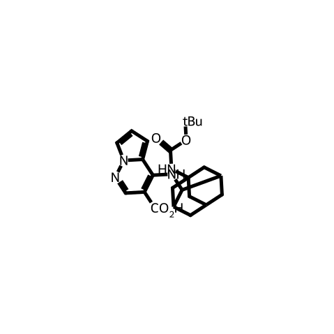 CC(C)(C)OC(=O)NC12CC3CC(C1)C(Nc1c(C(=O)O)cnn4cccc14)C(C3)C2